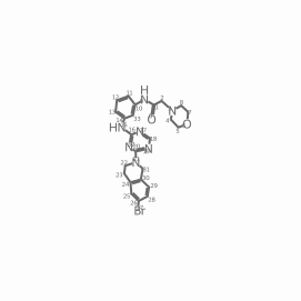 O=C(CN1CCOCC1)Nc1cccc(Nc2ncnc(N3CCc4cc(Br)ccc4C3)n2)c1